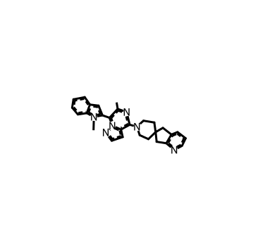 Cc1nc(N2CCC3(CC2)Cc2cccnc2C3)c2ccnn2c1-c1cc2ccccc2n1C